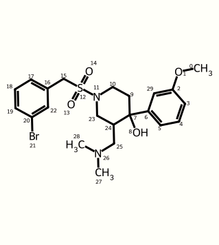 COc1cccc(C2(O)CCN(S(=O)(=O)Cc3cccc(Br)c3)CC2CN(C)C)c1